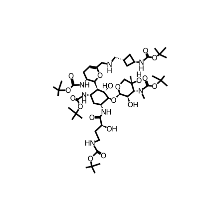 CN(C(=O)OC(C)(C)C)[C@@H]1[C@@H](O)[C@@H](O[C@@H]2[C@@H](O)[C@H](C3OC(CNC[C@H]4C[C@H](NC(=O)OC(C)(C)C)C4)=CC[C@H]3NC(=O)OC(C)(C)C)[C@@H](NC(=O)OC(C)(C)C)C[C@H]2NC(=O)[C@@H](O)CCNC(=O)OC(C)(C)C)OC[C@]1(C)O